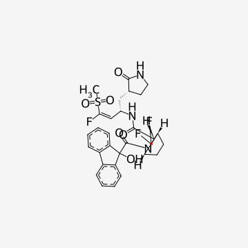 CS(=O)(=O)/C(F)=C\[C@H](C[C@H]1CCNC1=O)NC(=O)[C@@H]1[C@@H]2CC[C@@H](CC2(F)F)N1C(=O)C1(O)c2ccccc2-c2ccccc21